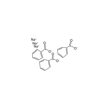 O=S([O-])c1ccccc1.O=S([O-])c1ccccc1.O=S([O-])c1ccccc1.[Na+].[Na+].[Na+]